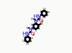 Cc1ccc(N(C)C(=O)Nc2ccccc2)cc1N(C)C(=O)Nc1ccccc1